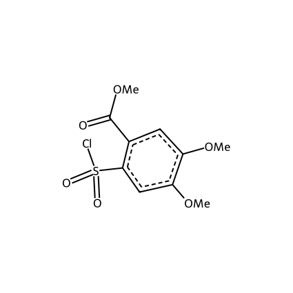 COC(=O)c1cc(OC)c(OC)cc1S(=O)(=O)Cl